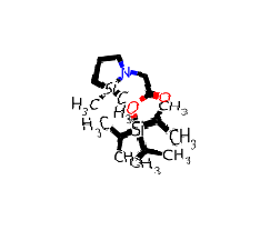 CC(C)[Si](OC(=O)CN1CCC[Si]1(C)C)(C(C)C)C(C)C